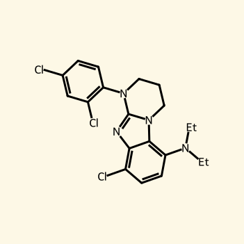 CCN(CC)c1ccc(Cl)c2nc3n(c12)CCCN3c1ccc(Cl)cc1Cl